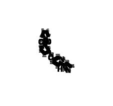 O=S(=O)(N1CCCC1)N1CCC[C@@H](COc2ccc(-c3ccn[nH]3)nc2)C1